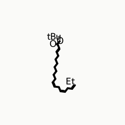 CC/C=C\C/C=C\C/C=C\CCCCCCC/C=C/C(=O)OC(C)(C)C